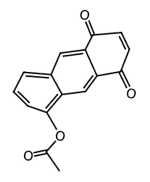 CC(=O)Oc1cccc2cc3c(cc12)C(=O)C=CC3=O